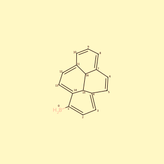 BC1=CC=C2C=CC3=CC=CC4=CC=C1C2C34